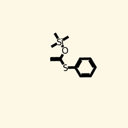 C=C(O[Si](C)(C)C)Sc1ccccc1